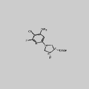 CO[C@H]1CN(c2cc(N)c(Cl)c(F)n2)C[C@H]1F